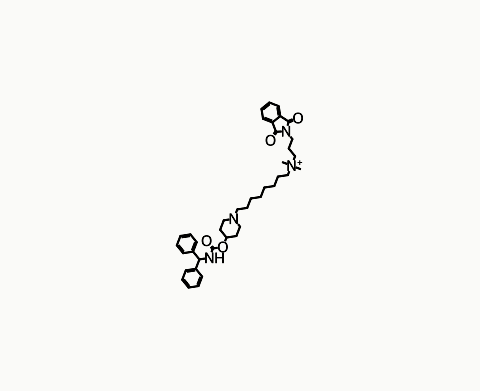 C[N+](C)(CCCCCCCCN1CCC(OC(=O)NC(c2ccccc2)c2ccccc2)CC1)CCCN1C(=O)c2ccccc2C1=O